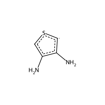 Nc1[c]scc1N